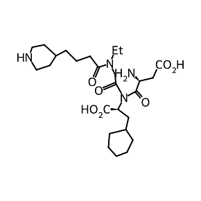 CCN(CC(=O)N(C(=O)[C@@H](N)CC(=O)O)[C@@H](CC1CCCCC1)C(=O)O)C(=O)CCCC1CCNCC1